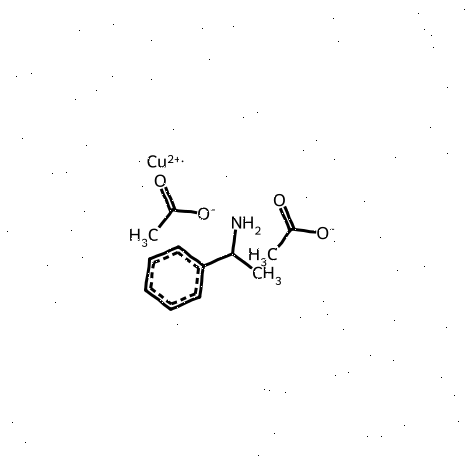 CC(=O)[O-].CC(=O)[O-].CC(N)c1ccccc1.[Cu+2]